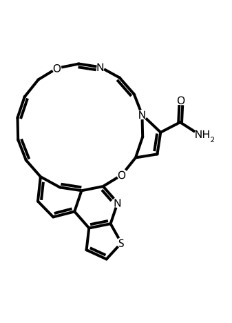 NC(=O)C1=CC2CN1/C=C\N=C/OC/C=C\C=C/c1ccc3c(c1)c(nc1sccc13)O2